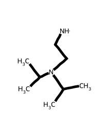 CC(C)N(CC[NH])C(C)C